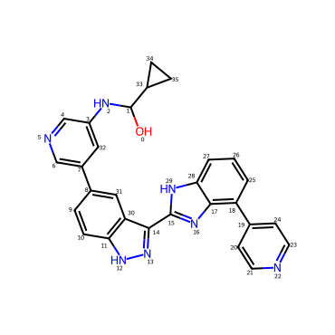 OC(Nc1cncc(-c2ccc3[nH]nc(-c4nc5c(-c6ccncc6)cccc5[nH]4)c3c2)c1)C1CC1